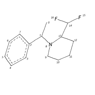 CC(c1ccccc1)N1CCCCC1C(F)F